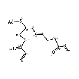 C=CC(=O)SCCSCC(CSC(=O)C=C)SC(C)=O